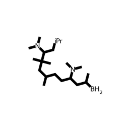 BC(C)CC(CCC(C)CC(C)(C)C(CC(C)C)N(C)C)N(C)C